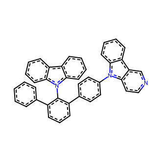 c1ccc(-c2cccc(-c3ccc(-n4c5ccccc5c5cnccc54)cc3)c2-n2c3ccccc3c3ccccc32)cc1